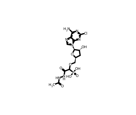 CC(=O)NNC(=O)C(OC[C@@H]1C[C@@H](O)[C@H](n2cnc3c(N)nc(Cl)nc32)O1)P(=O)(O)O